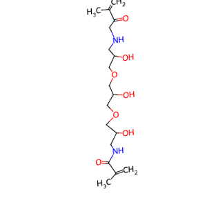 C=C(C)C(=O)CNCC(O)COCC(O)COCC(O)CNC(=O)C(=C)C